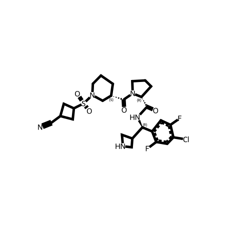 N#CC1CC(S(=O)(=O)N2CCC[C@H](C(=O)N3CCC[C@@H]3C(=O)N[C@@H](c3cc(F)c(Cl)cc3F)C3CNC3)C2)C1